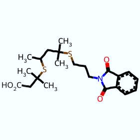 CC(CC(C)(C)SCCCN1C(=O)c2ccccc2C1=O)SC(C)(C)CC(=O)O